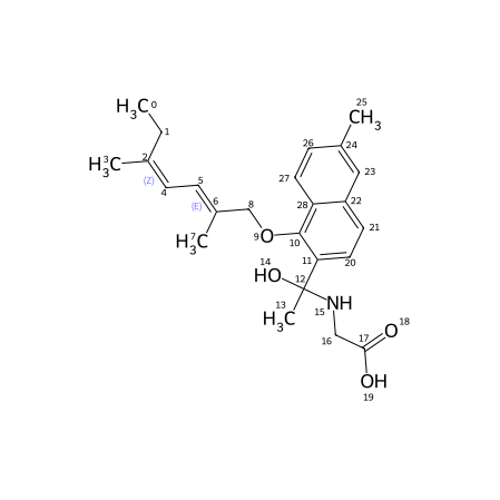 CC/C(C)=C\C=C(/C)COc1c(C(C)(O)NCC(=O)O)ccc2cc(C)ccc12